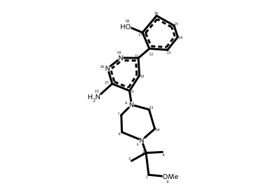 COCC(C)(C)N1CCN(c2cc(-c3ccccc3O)nnc2N)CC1